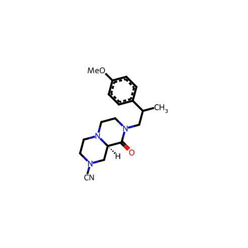 COc1ccc(C(C)CN2CCN3CCN(C#N)C[C@@H]3C2=O)cc1